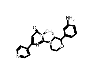 Cn1c(N2CCOC(c3cccc(N)c3)C2)nc(-c2ccncc2)cc1=O